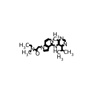 CCN(C)C(=O)Cn1ccc2c(Nc3c(C)ncnc3C(C)C)nccc21